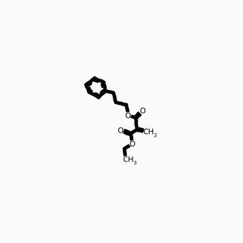 C=C(C(=O)OCC)C(=O)OCCCc1ccccc1